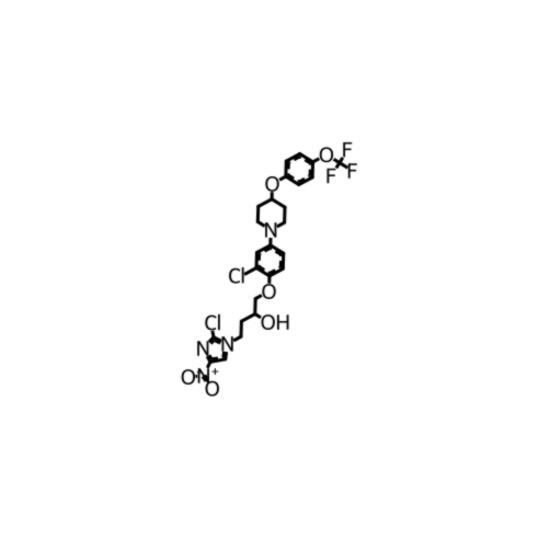 O=[N+]([O-])c1cn(CCC(O)COc2ccc(N3CCC(Oc4ccc(OC(F)(F)F)cc4)CC3)cc2Cl)c(Cl)n1